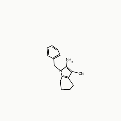 N#Cc1c2c(n(Cc3ccccc3)c1N)CCCC2